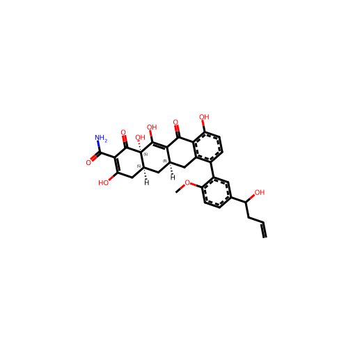 C=CCC(O)c1ccc(OC)c(-c2ccc(O)c3c2C[C@H]2C[C@H]4CC(O)=C(C(N)=O)C(=O)[C@@]4(O)C(O)=C2C3=O)c1